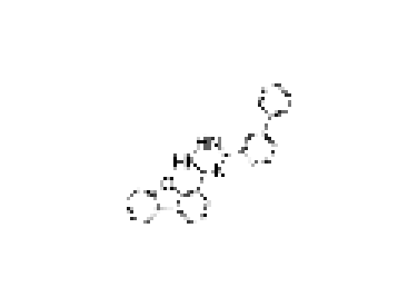 CN/C(=N\C(=N)c1cccc(-c2ccccc2)c1)c1cccc2c1oc1ccccc12